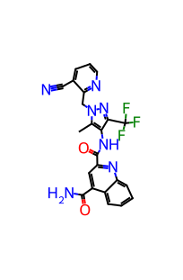 Cc1c(NC(=O)c2cc(C(N)=O)c3ccccc3n2)c(C(F)(F)F)nn1Cc1ncccc1C#N